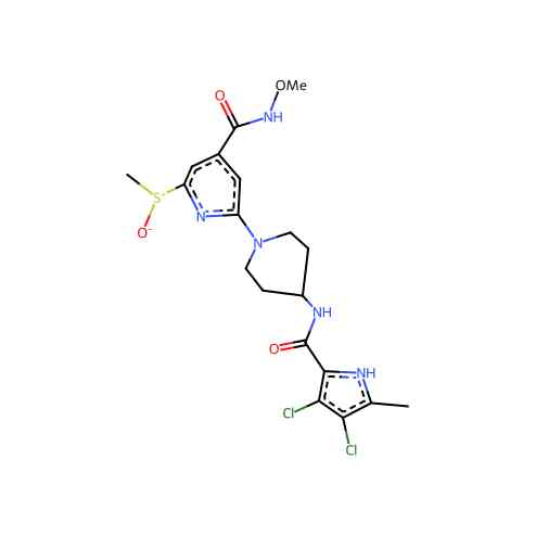 CONC(=O)c1cc(N2CCC(NC(=O)c3[nH]c(C)c(Cl)c3Cl)CC2)nc([S+](C)[O-])c1